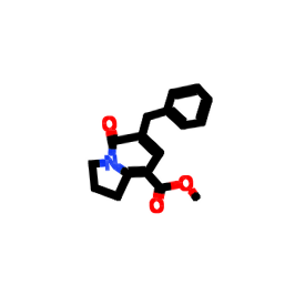 COC(=O)c1cc(Cc2ccccc2)c(=O)n2c1CCC2